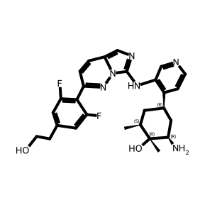 C[C@H]1C[C@@H](c2ccncc2Nc2ncc3ccc(-c4c(F)cc(CCO)cc4F)nn23)C[C@@H](N)[C@]1(C)O